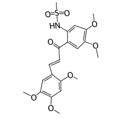 COc1cc(OC)c(OC)cc1C=CC(=O)c1cc(OC)c(OC)cc1NS(C)(=O)=O